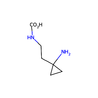 NC1(CCNC(=O)O)CC1